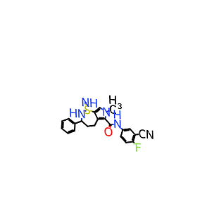 Cn1cc2c(c1C(=O)Nc1ccc(F)c(C#N)c1)CCC(c1ccccc1)NS2=N